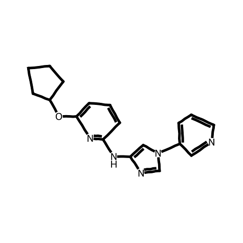 c1cncc(-n2cnc(Nc3cccc(OC4CCCC4)n3)c2)c1